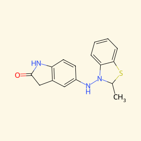 CC1Sc2ccccc2N1Nc1ccc2c(c1)CC(=O)N2